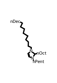 CCCCCCCCCCCCCCCCCCCN1C=CN(CCCCC)C1CCCCCCCC